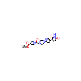 CC(C)(C)OC(=O)C1CCN(C(=O)CN2CCN(c3ccc(C4CCC(=O)NC4=O)cn3)CC2)CC1